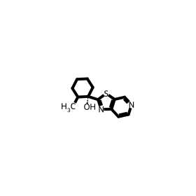 CC1CCCC[C@@]1(O)c1nc2ccncc2s1